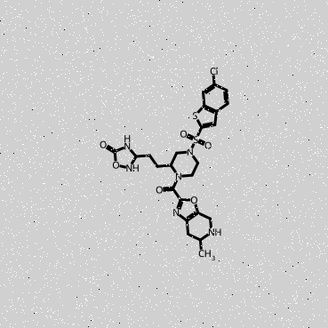 CC1Cc2nc(C(=O)N3CCN(S(=O)(=O)c4cc5ccc(Cl)cc5s4)CC3CCC3NOC(=O)N3)oc2CN1